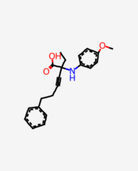 CCC(C#CCCc1ccccc1)(Nc1ccc(OC)cc1)C(=O)O